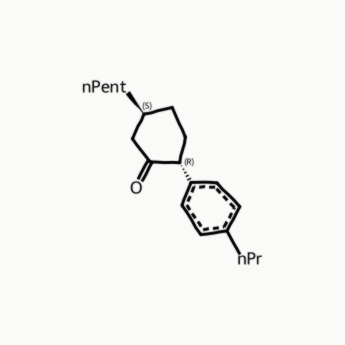 CCCCC[C@H]1CC[C@H](c2ccc(CCC)cc2)C(=O)C1